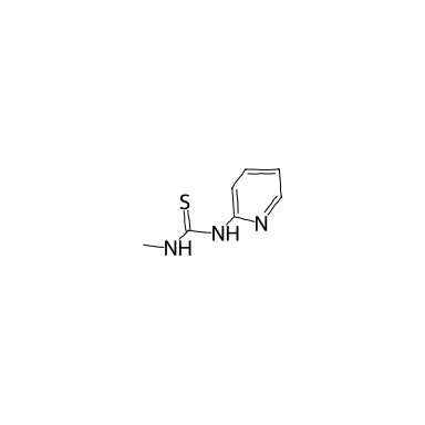 CNC(=S)Nc1ccccn1